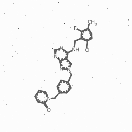 Cc1ccc(Cl)c(CNc2ncnc3nn(Cc4ccc(Cn5ccccc5=O)cc4)cc23)c1F